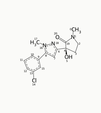 CN1CC[C@](O)(c2cc(-c3cccc(Cl)c3)n(C)n2)C1=O